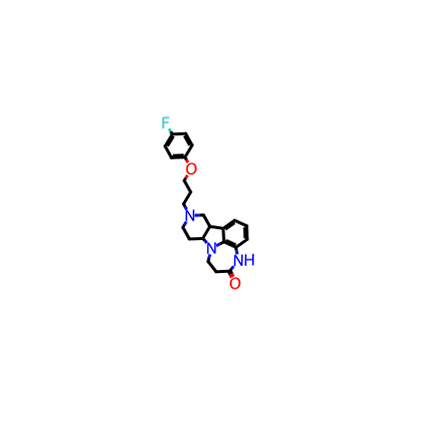 O=C1CCN2c3c(cccc3C3CN(CCCOc4ccc(F)cc4)CCC32)N1